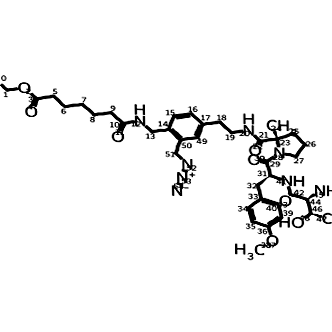 CCOC(=O)CCCCCC(=O)NCc1ccc(CCNC(=O)[C@]2(C)CCCN2C(=O)[C@H](Cc2ccc(OC)cc2)NC(=O)[C@@H](N)[C@@H](C)O)cc1CN=[N+]=[N-]